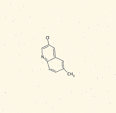 Cc1c[c]c2ncc(Cl)cc2c1